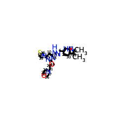 Cc1[nH]c2cc(/C=N/Nc3cc(N4CCSC4)nc(OCCN4CCOCC4)n3)ccc2c1C